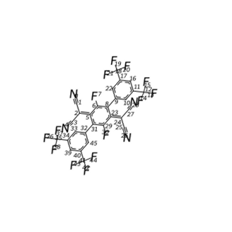 N#CC(C#N)=c1c(F)c(-c2cc(C(F)(F)F)cc(C(F)(F)F)c2)c(=C(C#N)C#N)c(F)c1-c1cc(C(F)(F)F)cc(C(F)(F)F)c1